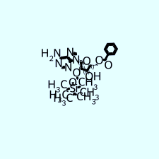 CC(C)[Si](OCO[C@@H]1[C@H](O)[C@@H](COC(=O)c2ccccc2)O[C@H]1n1cnc2c(N)ncnc21)(C(C)C)C(C)C